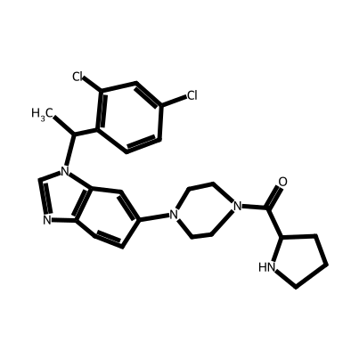 CC(c1ccc(Cl)cc1Cl)n1cnc2ccc(N3CCN(C(=O)C4CCCN4)CC3)cc21